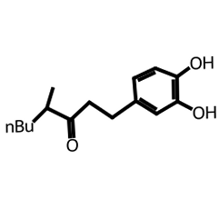 CCCCC(C)C(=O)CCc1ccc(O)c(O)c1